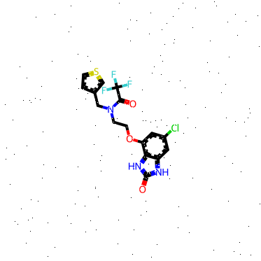 O=C(N(CCOc1cc(Cl)cc2[nH]c(=O)[nH]c12)Cc1ccsc1)C(F)(F)F